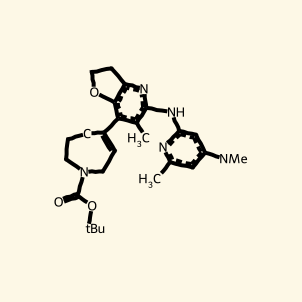 CNc1cc(C)nc(Nc2nc3c(c(C4=CCN(C(=O)OC(C)(C)C)CCC4)c2C)OCC3)c1